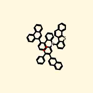 c1ccc(-c2ccc(N(c3ccccc3-c3ccccc3-c3cc4ccccc4c4ccccc34)c3cccc4sc5c6ccccc6ccc5c34)cc2-c2ccc3ccccc3c2)cc1